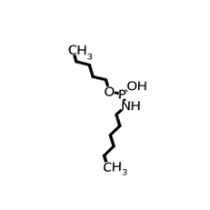 CCCCCCNP(O)OCCCCC